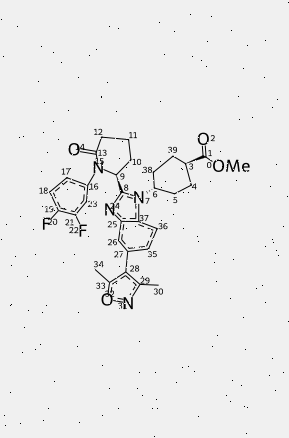 COC(=O)[C@H]1CC[C@H](n2c([C@@H]3CCCC(=O)N3c3ccc(F)c(F)c3)nc3cc(-c4c(C)noc4C)ccc32)CC1